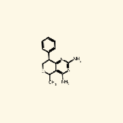 CC1OCC(c2ccccc2)c2nc(N)nc(N)c21